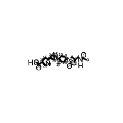 CC(=O)NCC1CN(c2ccc(-n3cc(-c4ccc(C(=O)O)cn4)cn3)c(F)c2)C(=O)O1